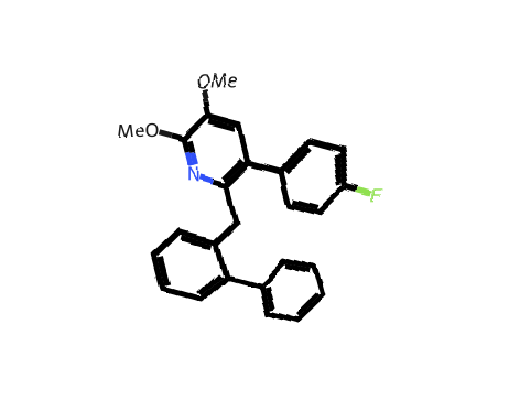 COc1cc(-c2ccc(F)cc2)c(Cc2ccccc2-c2ccccc2)nc1OC